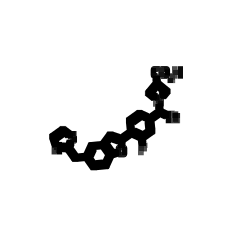 CCC(c1ccc(-c2cc3cc(Cc4nccs4)ccc3o2)c(F)c1)N1CC(C(=O)O)C1